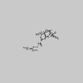 CN(C)CCCC(=O)N1CCc2ccc(C(=O)NO)cc2C1.Cl